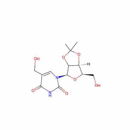 CC1(C)OC2[C@@H](O1)[C@@H](CO)O[C@H]2n1cc(CO)c(=O)[nH]c1=O